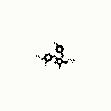 CC(C)Oc1ccc(/N=C2\NC(=O)/C(=C/C(=O)O)N2Cc2ccc(Cl)cc2)cc1Cl